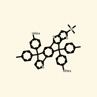 CCCCCCc1ccc(C2(c3ccc(C)cc3)c3cc4c(cc3-c3sccc32)C(c2ccc(C)cc2)(c2ccc(CCCCCC)cc2)c2c-4sc3cc([Si](C)(C)C)sc23)cc1